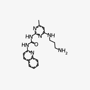 Cc1cc(NCCCN)nc(NC(=O)Nc2ccc3ccccc3n2)n1